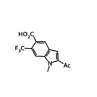 CC(=O)c1cc2cc(C(=O)O)c(C(F)(F)F)cc2n1C